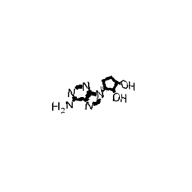 Nc1ncnc2c1ncn2[C@H]1CCC(O)C1O